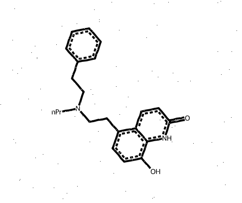 CCCN(CCc1ccccc1)CCc1ccc(O)c2[nH]c(=O)ccc12